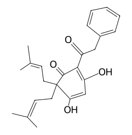 CC(C)=CCC1(CC=C(C)C)C(=O)C(C(=O)Cc2ccccc2)=C(O)C=C1O